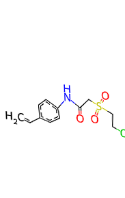 C=Cc1ccc(NC(=O)CS(=O)(=O)CCCl)cc1